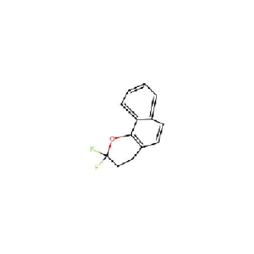 FC1(F)CCc2ccc3ccccc3c2O1